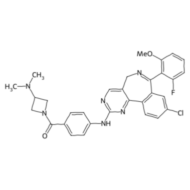 COc1cccc(F)c1C1=NCc2cnc(Nc3ccc(C(=O)N4CC(N(C)C)C4)cc3)nc2-c2ccc(Cl)cc21